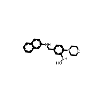 ONc1cc(CNc2ccc3ccccc3c2)ccc1N1CCOCC1